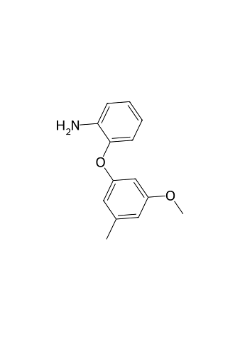 COc1cc(C)cc(Oc2ccccc2N)c1